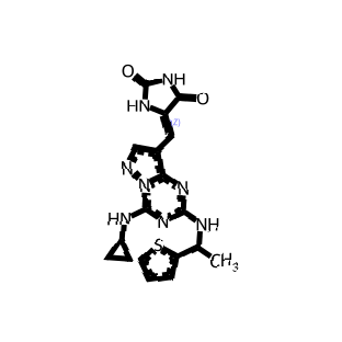 CC(Nc1nc(NC2CC2)n2ncc(/C=C3\NC(=O)NC3=O)c2n1)c1cccs1